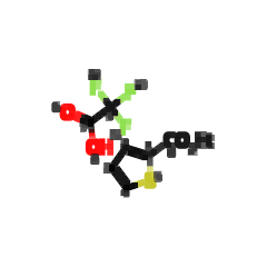 CCOC(=O)c1cccs1.O=C(O)C(F)(F)F